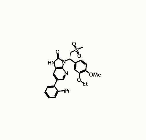 CCOc1cc([C@@H](CS(C)(=O)=O)n2c(=O)[nH]c3cc(-c4ccccc4C(C)C)cnc32)ccc1OC